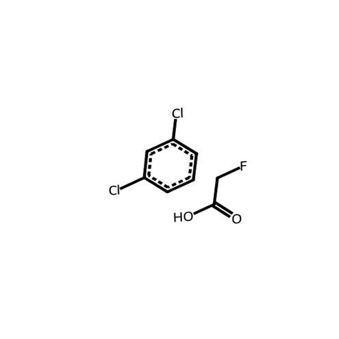 Clc1cccc(Cl)c1.O=C(O)CF